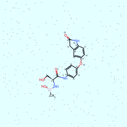 CB(O)N[C@@H](CO)C(=O)Nc1ccc(Oc2ccc3c(c2)CC(=O)N3)cc1